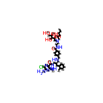 CCCCCCN(CCNC(=O)c1ccc(CNC[C@H](CNC(=O)c2nc(Cl)c(N)nc2NC)Cc2ccccc2C)cc1)CC(O)C(O)C(O)CO